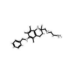 Cc1c(C)c2c(c(C)c1OCc1ccccc1)CCC(C)(COCCN)O2